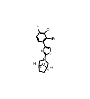 CC(C)(C)c1c(-c2csc(N3C[C@H]4CC[C@@H](C3)O4)n2)ccc(F)c1Cl